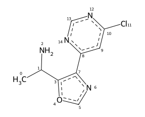 CC(N)c1ocnc1-c1cc(Cl)ncn1